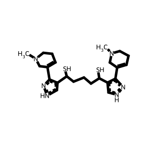 CN1CCC=C(c2n[nH]cc2C(S)CCCC(S)c2c[nH]nc2C2=CCCN(C)C2)C1